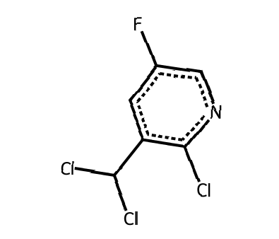 Fc1cnc(Cl)c(C(Cl)Cl)c1